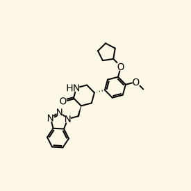 COc1ccc([C@H]2CNC(=O)[C@H](Cn3nnc4ccccc43)C2)cc1OC1CCCC1